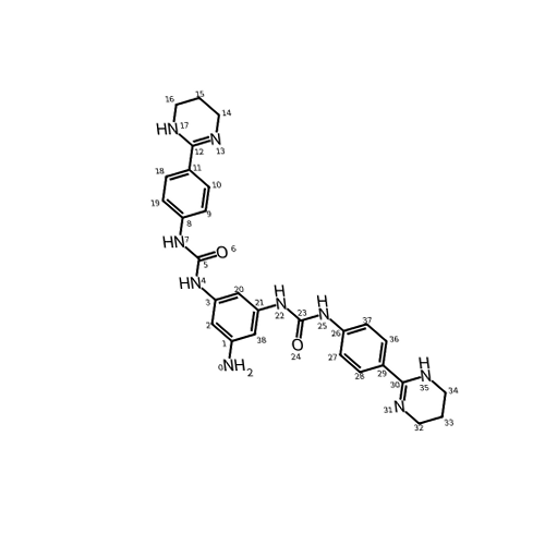 Nc1cc(NC(=O)Nc2ccc(C3=NCCCN3)cc2)cc(NC(=O)Nc2ccc(C3=NCCCN3)cc2)c1